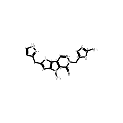 Cn1c2nc(Cc3cc[nH]n3)sc2c2cnn(Cc3cnc(N)s3)c(=O)c21